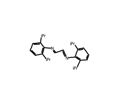 CC(C)c1cccc(C(C)C)c1N=CC=Nc1c(C(C)C)cccc1C(C)C